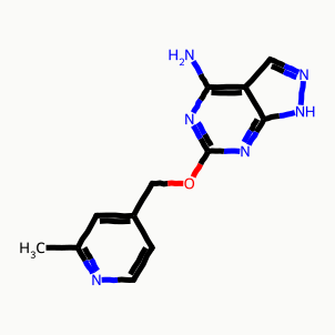 Cc1cc(COc2nc(N)c3cn[nH]c3n2)ccn1